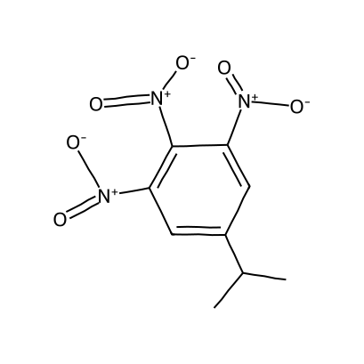 CC(C)c1cc([N+](=O)[O-])c([N+](=O)[O-])c([N+](=O)[O-])c1